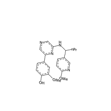 CCCC(Nc1cncc(-c2ccc(O)c(OC)c2)n1)c1ccc(OC)nc1